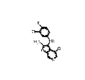 Nc1oc2cncc(Cl)c2c1Nc1ccc(F)c(Cl)c1